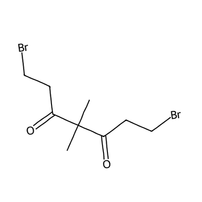 CC(C)(C(=O)CCBr)C(=O)CCBr